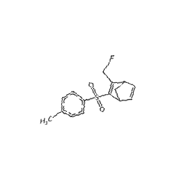 Cc1ccc(S(=O)(=O)C2=C(CF)C3C=CC2C3)cc1